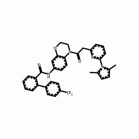 Cc1ccc(C)n1-c1cccc(CC(=O)N2CCOc3cc(NC(=O)c4ccccc4-c4ccc(C(F)(F)F)cc4)ccc32)n1